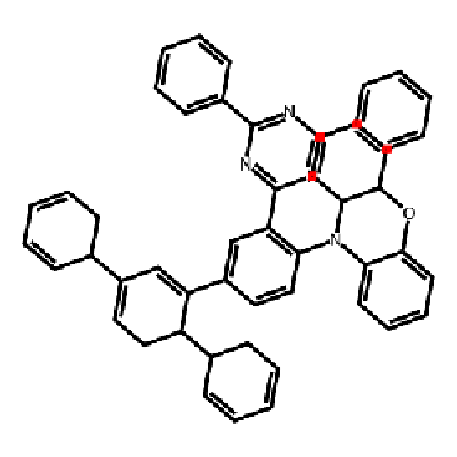 C1=CCC(C2=CCC(C3C=CC=CC3)C(c3ccc(N4c5ccccc5OC5C=CC=CC54)c(-c4nc(-c5ccccc5)nc(-c5ccccc5)n4)c3)=C2)C=C1